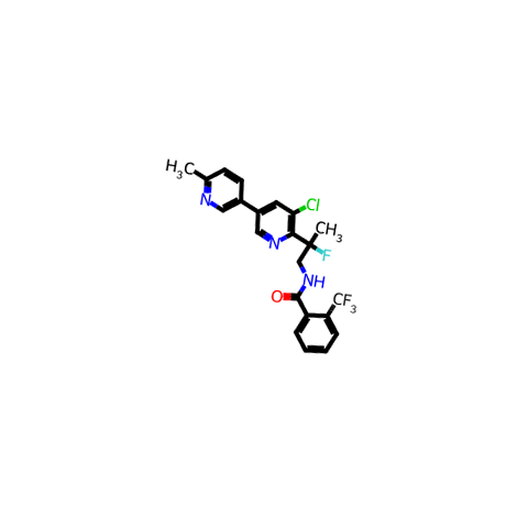 Cc1ccc(-c2cnc(C(C)(F)CNC(=O)c3ccccc3C(F)(F)F)c(Cl)c2)cn1